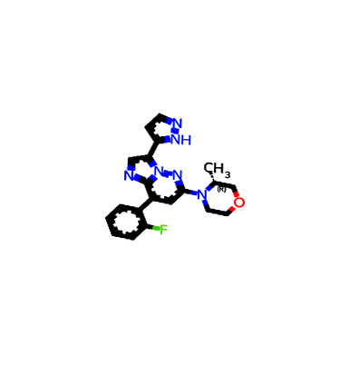 C[C@@H]1COCCN1c1cc(-c2ccccc2F)c2ncc(-c3ccn[nH]3)n2n1